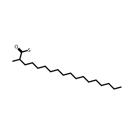 CCCCCCCCCCCCCCCCC(C)C(=O)[S]